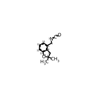 CC1(C)Cc2c(CN=C=O)cccc2O1